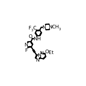 CCOc1ccc2ncc(C#Cc3cc(C(=O)Nc4ccc(CN5CCN(C)CC5)c(C(F)(F)F)c4)cnc3F)n2n1